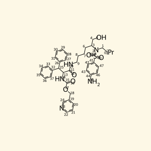 CC(C)CN(C(CO)CCCCNC(=O)C(NC(=O)OCc1cccnc1)C(c1ccccc1)c1ccccc1)S(=O)(=O)c1ccc(N)cc1